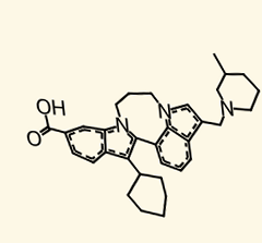 CC1CCCN(Cc2cn3c4c(cccc24)-c2c(C4CCCCC4)c4ccc(C(=O)O)cc4n2CCC3)C1